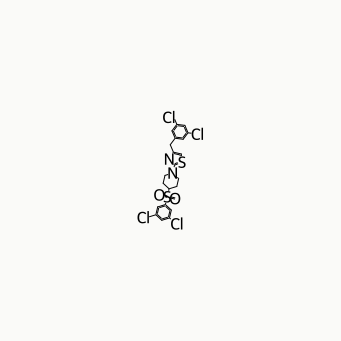 O=S(=O)(c1cc(Cl)cc(Cl)c1)C1CCN(c2nc(Cc3cc(Cl)cc(Cl)c3)cs2)CC1